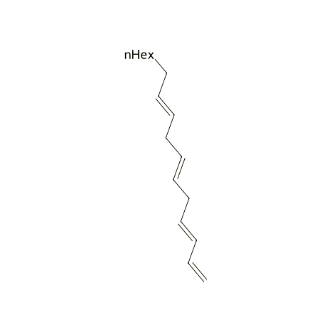 C=CC=CCC=CCC=CCCCCCCC